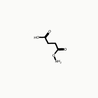 NOC(=O)CCC(=O)O